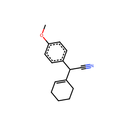 COc1ccc(C(C#N)C2=CCCCC2)cc1